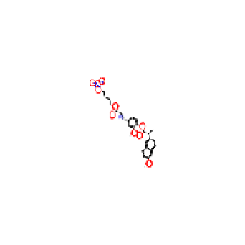 COc1ccc2cc(C(C)C(=O)Oc3ccc(/C=C/C(=O)OCCCCO[N+](=O)[O-])cc3OC)ccc2c1